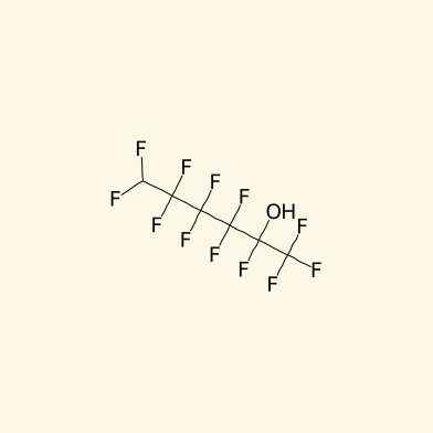 OC(F)(C(F)(F)F)C(F)(F)C(F)(F)C(F)(F)C(F)F